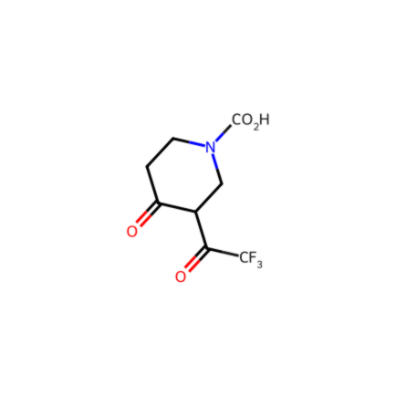 O=C1CCN(C(=O)O)CC1C(=O)C(F)(F)F